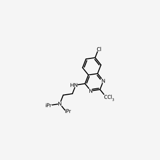 CC(C)N(CCNc1nc(C(Cl)(Cl)Cl)nc2cc(Cl)ccc12)C(C)C